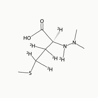 [2H]N(N(C)C)[C@]([2H])(C(=O)O)C([2H])([2H])C([2H])([2H])SC